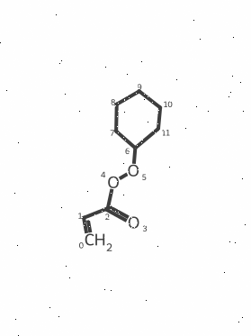 C=CC(=O)OOC1CCCCC1